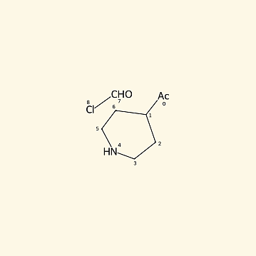 CC(=O)C1CCNCC1.O=CCl